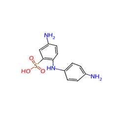 Nc1ccc(Nc2ccc(N)cc2S(=O)(=O)O)cc1